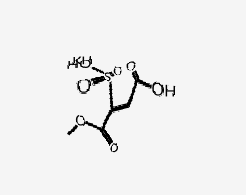 COC(=O)C(CC(=O)O)S(=O)(=O)O.[KH]